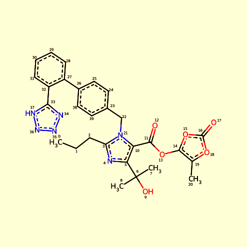 CCCc1nc(C(C)(C)O)c(C(=O)Oc2oc(=O)oc2C)n1Cc1ccc(-c2ccccc2-c2nnn[nH]2)cc1